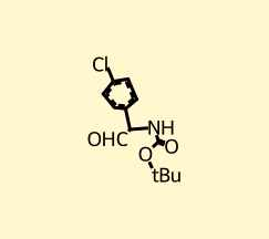 CC(C)(C)OC(=O)NC(C=O)c1ccc(Cl)cc1